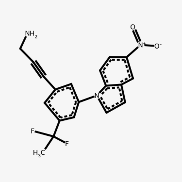 CC(F)(F)c1cc(C#CCN)cc(-n2ccc3cc([N+](=O)[O-])ccc32)c1